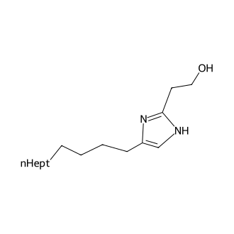 CCCCCCCCCCCc1c[nH]c(CCO)n1